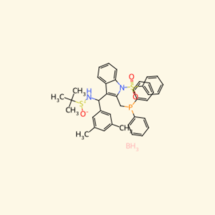 B.Cc1cc(C)cc(C(N[S+]([O-])C(C)(C)C)c2c(CP(c3ccccc3)c3ccccc3)n(S(=O)(=O)c3ccccc3)c3ccccc23)c1